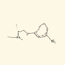 C[C@H](COc1cccc([N+](=O)[O-])c1)N(C)C